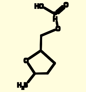 BC1CCC(CO[PH](=O)O)O1